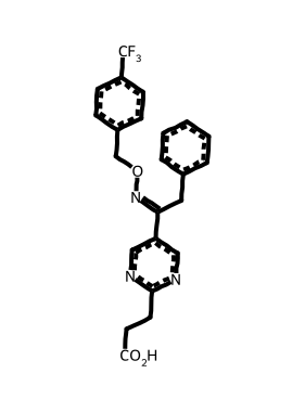 O=C(O)CCc1ncc(C(Cc2ccccc2)=NOCc2ccc(C(F)(F)F)cc2)cn1